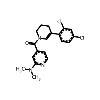 CN(C)c1cc(C(=O)N2C=C(c3ccc(Cl)cc3Cl)CCC2)ccn1